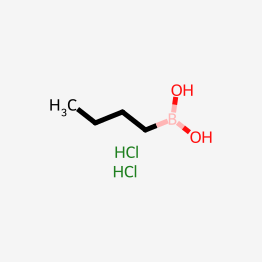 CCCCB(O)O.Cl.Cl